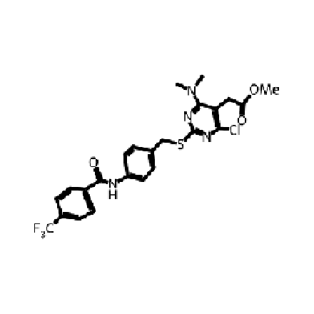 COC(=O)Cc1c(Cl)nc(SCc2ccc(NC(=O)c3ccc(C(F)(F)F)cc3)cc2)nc1N(C)C